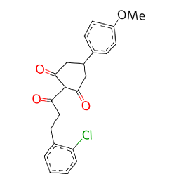 COc1ccc(C2CC(=O)C(C(=O)CCc3ccccc3Cl)C(=O)C2)cc1